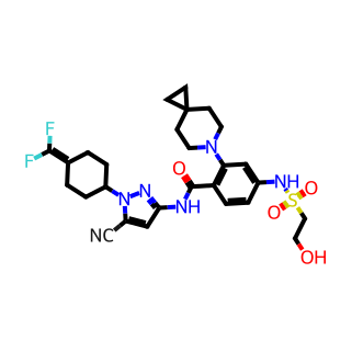 N#Cc1cc(NC(=O)c2ccc(NS(=O)(=O)CCO)cc2N2CCC3(CC2)CC3)nn1C1CCC(=C(F)F)CC1